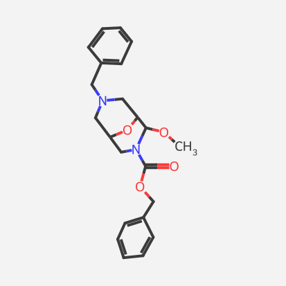 COC1C2CN(Cc3ccccc3)CC(CN1C(=O)OCc1ccccc1)O2